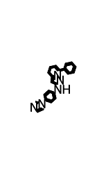 C1=C(c2ccccc2)n2nc(Nc3ccc(-n4ccnc4)cc3)cc2CC1